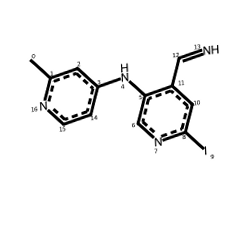 Cc1cc(Nc2cnc(I)cc2C=N)ccn1